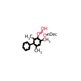 CCCCCCCCCCOP(O)Oc1c(C)cc(C)c(-c2ccccc2)c1C